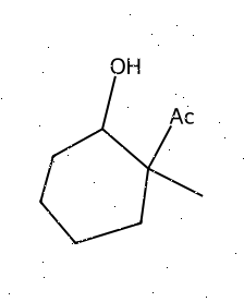 CC(=O)C1(C)CCCCC1O